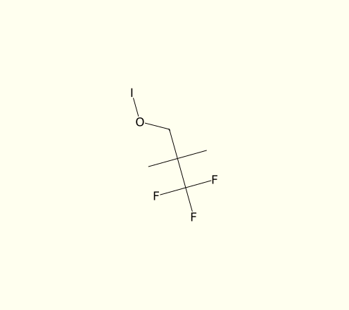 CC(C)(COI)C(F)(F)F